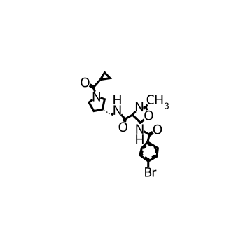 CC1=NC(C(=O)NC[C@@H]2CCN(C(=O)C3CC3)C2)C(NC(=O)c2ccc(Br)cc2)O1